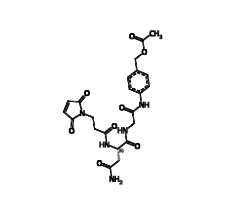 CC(=O)OCc1ccc(NC(=O)CNC(=O)[C@H](CC(N)=O)NC(=O)CCN2C(=O)C=CC2=O)cc1